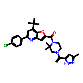 C=C(c1cc(C)n[nH]1)N1CCN(C(=O)c2cc3nc(-c4ccc(Cl)cc4)cc(C(C)(C)C)c3o2)C(C)(C)C1